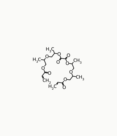 C=CC(=O)OCC(C)OCC(C)OC(=O)C(=O)OC(C)COC(C)COC(=O)C=C